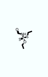 CCOP(=S)(NC=O)SCC